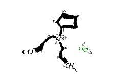 C=C[CH2][Zr+2]([CH2]C=C)[C]1=CC=CC1.[Cl-].[Cl-]